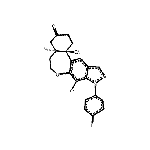 N#C[C@]12CCC(=O)C[C@@H]1CCOc1c2cc2cnn(-c3ccc(F)cc3)c2c1Br